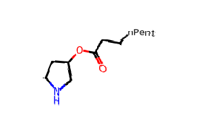 CCCCCCCC(=O)OC1C[CH]NC1